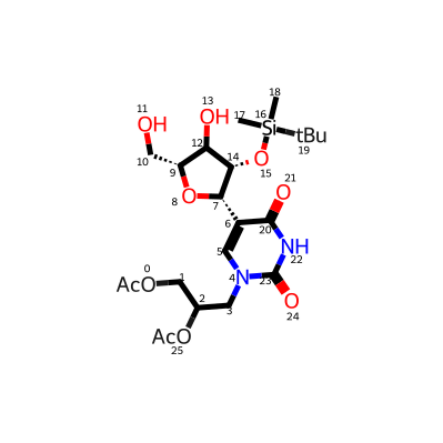 CC(=O)OCC(Cn1cc([C@@H]2O[C@H](CO)C(O)[C@@H]2O[Si](C)(C)C(C)(C)C)c(=O)[nH]c1=O)OC(C)=O